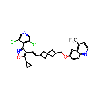 FC(F)(F)c1ccnc2ccc(OCC3CC4(CC(/C=C/c5c(-c6c(Cl)cncc6Cl)noc5C5CC5)C4)C3)cc12